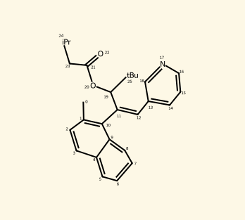 Cc1ccc2ccccc2c1C(=Cc1cccnc1)C(OC(=O)CC(C)C)C(C)(C)C